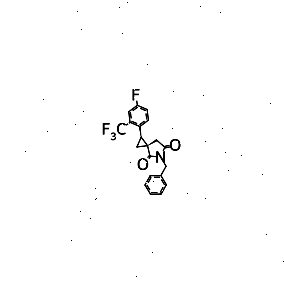 O=C1C[C@]2(C[C@H]2c2ccc(F)cc2C(F)(F)F)C(=O)N1Cc1ccccc1